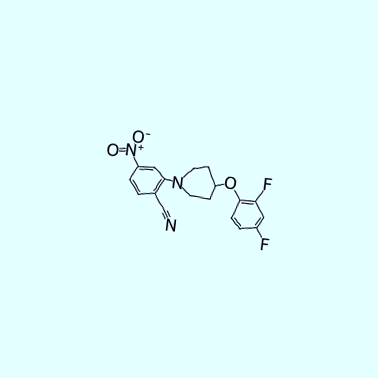 N#Cc1ccc([N+](=O)[O-])cc1N1CCC(Oc2ccc(F)cc2F)CC1